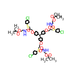 C=C(C)C(=O)OCCNCOC(COc1ccc(C(c2ccc(OCC(CSc3ccc(Cl)cc3)OC(=O)NCCOC(=O)C(=C)C)cc2)c2ccc(OCC(CSc3ccc(Cl)cc3)OC(=O)NCCOC(=O)C(=C)C)cc2)cc1)CSc1ccc(Cl)cc1